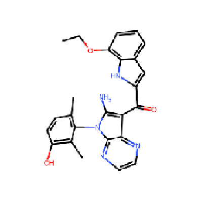 CCOc1cccc2cc(C(=O)c3c(N)n(-c4c(C)ccc(O)c4C)c4nccnc34)[nH]c12